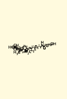 C=C1CC[C@H](OCCCNC(=O)COCCO)C/C1=C/C=C1\CCC[C@]2(C)[C@@H]([C@H](C)CCCC(C)(C)O)CC[C@@H]12